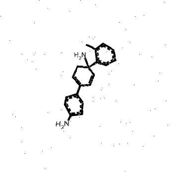 Cc1ccccc1C1(N)C=CC(c2ccc(N)cc2)=CC1